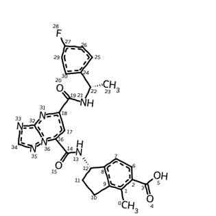 Cc1c(C(=O)O)ccc2c1CC[C@@H]2NC(=O)c1cc(C(=O)N[C@@H](C)c2ccc(F)cc2)nc2ncnn12